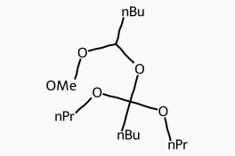 CCCCC(OOC)OC(CCCC)(OCCC)OCCC